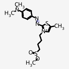 COS(=O)CCCC[n+]1cc(C)sc1/N=N/c1ccc(N(C)C)cc1